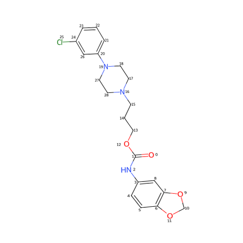 O=C(Nc1ccc2c(c1)OCO2)OCCCN1CCN(c2cccc(Cl)c2)CC1